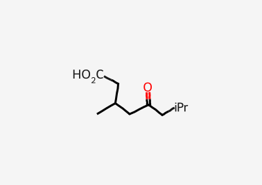 CC(C)CC(=O)CC(C)CC(=O)O